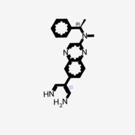 C[C@H](c1ccccc1)N(C)c1cnc2cc(/C(C=N)=C/N)ccc2n1